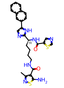 Cc1nsc(N)c1C(=O)NCCCC[C@H](NC(=O)c1cncs1)c1ncc(-c2ccc3ccccc3c2)[nH]1